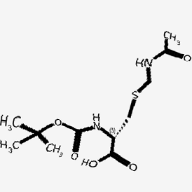 CC(=O)NCSC[C@@H](NC(=O)OC(C)(C)C)C(=O)O